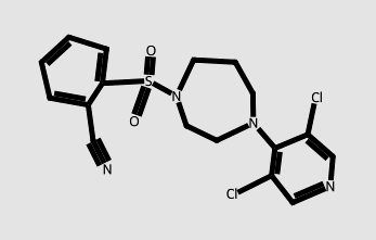 N#Cc1ccccc1S(=O)(=O)N1CCCN(c2c(Cl)cncc2Cl)CC1